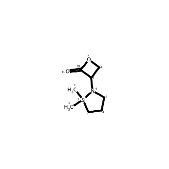 C[Si]1(C)CCCN1C1COC1=O